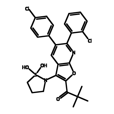 CC(C)(C)C(=O)c1oc2nc(-c3ccccc3Cl)c(-c3ccc(Cl)cc3)cc2c1N1CCCS1(O)O